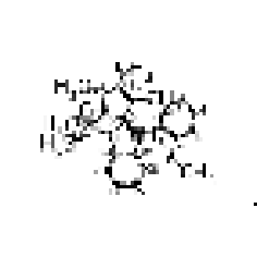 CCc1ccccc1C1=C[CH]([Zr]([CH3])([CH3])(=[SiH2])[C]2=C(C)C(C)=C(C)C2C)c2ccccc21